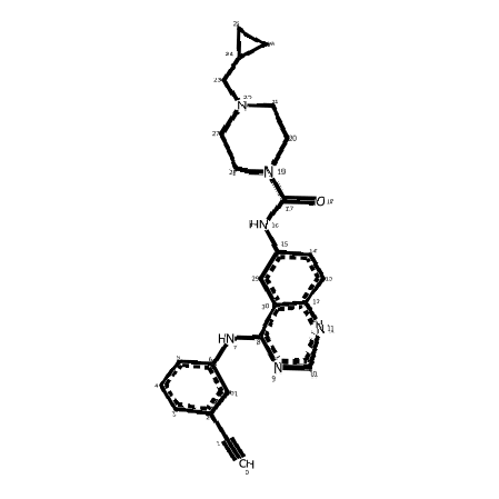 C#Cc1cccc(Nc2ncnc3ccc(NC(=O)N4CCN(CC5CC5)CC4)cc23)c1